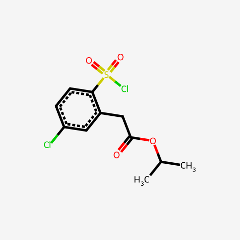 CC(C)OC(=O)Cc1cc(Cl)ccc1S(=O)(=O)Cl